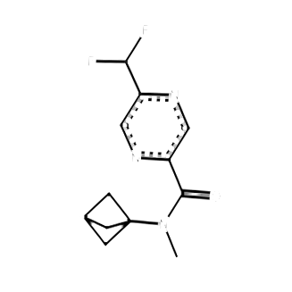 CN(C(=O)c1cnc(C(F)F)cn1)C12C[C](C1)C2